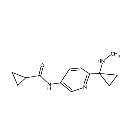 CNC1(c2ccc(NC(=O)C3CC3)cn2)CC1